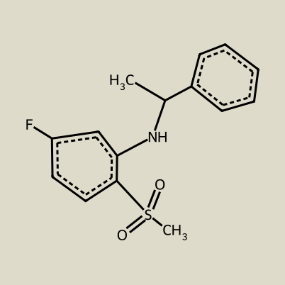 CC(Nc1cc(F)ccc1S(C)(=O)=O)c1ccccc1